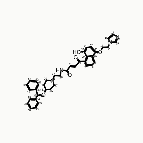 O=C(/C=C/C(=O)c1cccc2c(OCCn3ccnc3)ccc(O)c12)NCCN1CCC(OC(c2ccccc2)c2ccccc2)CC1